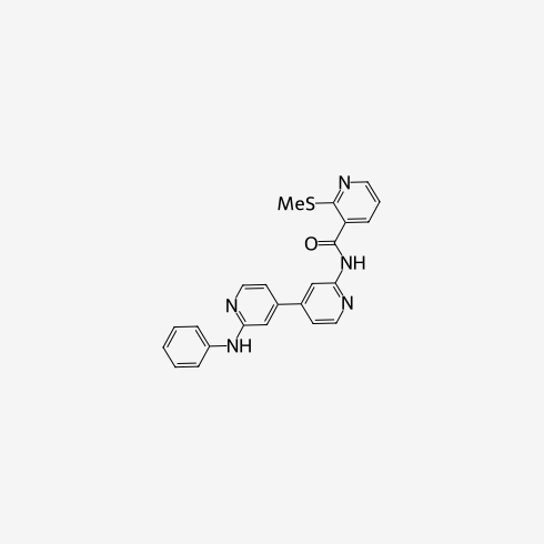 CSc1ncccc1C(=O)Nc1cc(-c2ccnc(Nc3ccccc3)c2)ccn1